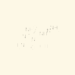 Cl.NN=CNC(=O)c1nc(Cl)c(N)nc1N